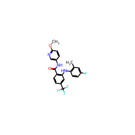 COc1ccc(NC(=O)c2ccc(C(F)(F)F)cc2Nc2ccc(F)cc2C)cn1